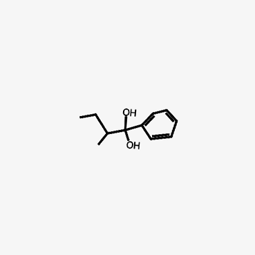 CCC(C)C(O)(O)c1ccccc1